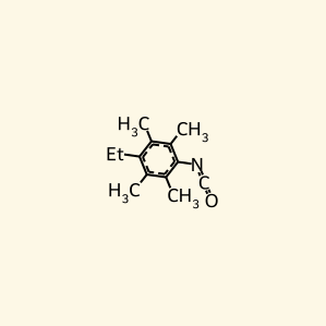 CCc1c(C)c(C)c(N=C=O)c(C)c1C